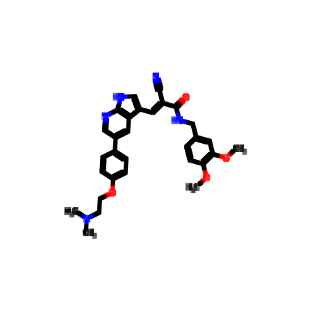 COc1ccc(CNC(=O)/C(C#N)=C/c2c[nH]c3ncc(-c4ccc(OCCN(C)C)cc4)cc23)cc1OC